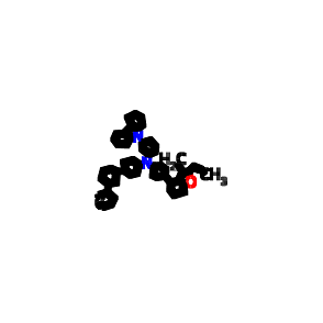 C=Cc1c(/C=C\C)oc2cccc(-c3ccc(N(c4ccc(-c5cccc(-c6ccccc6)c5)cc4)c4cccc(-n5c6ccccc6c6ccccc65)c4)cc3)c12